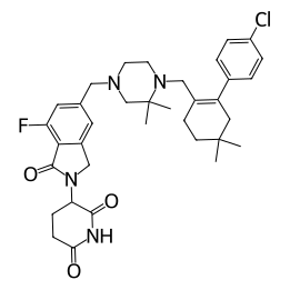 CC1(C)CCC(CN2CCN(Cc3cc(F)c4c(c3)CN(C3CCC(=O)NC3=O)C4=O)CC2(C)C)=C(c2ccc(Cl)cc2)C1